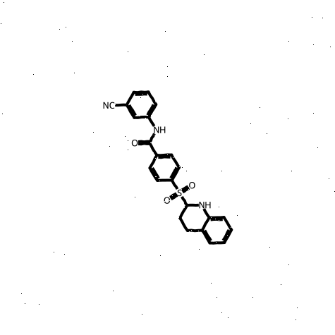 N#Cc1cccc(NC(=O)c2ccc(S(=O)(=O)C3CCc4ccccc4N3)cc2)c1